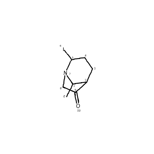 CC1C2CCC(I)N1CC2=O